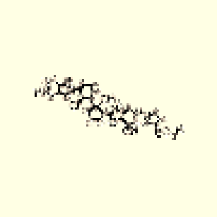 Cc1c(-c2nc3cc(CN4CCC(C(=O)O)C4)cc(C#N)c3o2)cccc1-c1cccc(-n2cc3c(n2)CCNC3)c1Cl